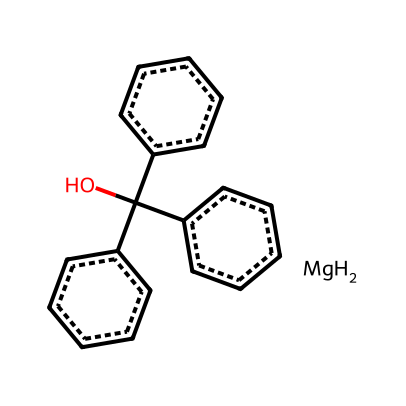 OC(c1ccccc1)(c1ccccc1)c1ccccc1.[MgH2]